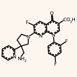 NCC1(c2ccccn2)CCN(c2nc3c(cc2F)c(=O)c(C(=O)O)cn3-c2ccc(F)cc2F)C1